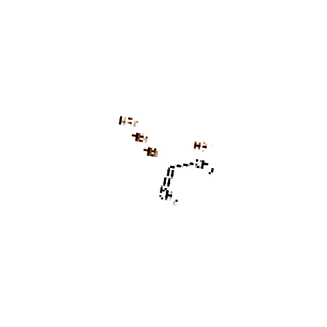 Br.Br.Br.Br.C=CC